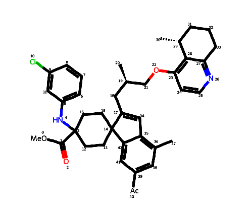 COC(=O)C1(Nc2cccc(Cl)c2)CCC2(CC1)C(C[C@@H](C)COc1ccnc3c1[C@H](C)CCC3)=Cc1c(C)cc(C(C)=O)cc12